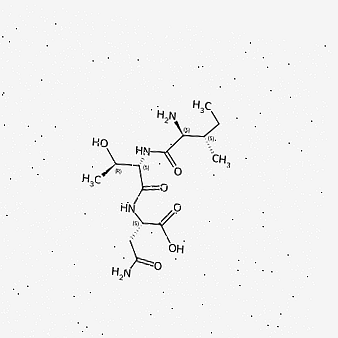 CC[C@H](C)[C@H](N)C(=O)N[C@H](C(=O)N[C@@H](CC(N)=O)C(=O)O)[C@@H](C)O